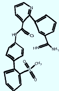 CS(=O)(=O)c1ccccc1-c1ccc(NC(=O)c2cccnc2-c2cccc(C(=N)N)c2)cc1